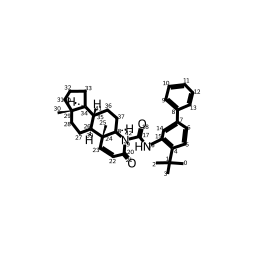 CC(C)(C)c1ccc(-c2ccccc2)cc1NC(=O)N1C(=O)C=C[C@]2(C)[C@H]3CC[C@]4(C)CCC[C@H]4[C@@H]3CC[C@@H]12